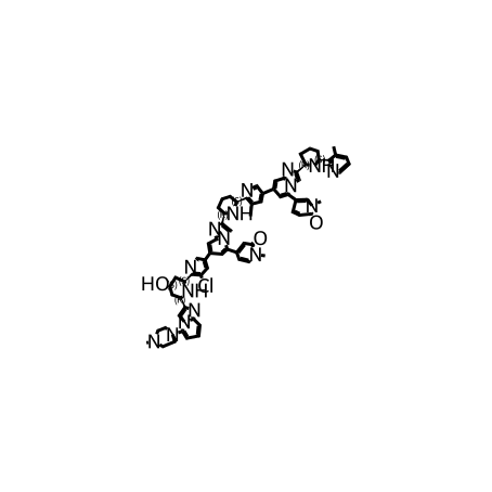 Cc1cccnc1[C@@H]1CCC[C@H](c2cn3c(-c4ccc(=O)n(C)c4)cc(-c4cnc([C@@H]5CCC[C@H](c6cn7c(-c8ccn(C)c(=O)c8)cc(-c8cnc([C@@H]9C[C@@H](O)C[C@H](c%10cn%11c(N%12CCN(C)CC%12)cccc%11n%10)N9)c(Cl)c8)cc7n6)N5)c(C)c4)cc3n2)N1